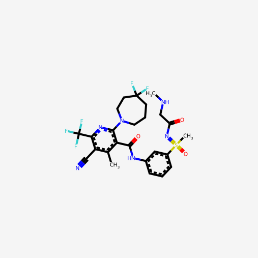 CNCC(=O)N=S(C)(=O)c1cccc(NC(=O)c2c(N3CCCC(F)(F)CC3)nc(C(F)(F)F)c(C#N)c2C)c1